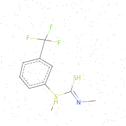 CN=C(S)[SH](C)c1cccc(C(F)(F)F)c1